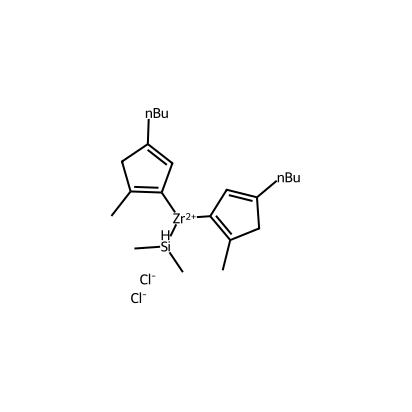 CCCCC1=C[C]([Zr+2]([C]2=C(C)CC(CCCC)=C2)[SiH](C)C)=C(C)C1.[Cl-].[Cl-]